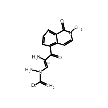 C=C(CC)N(N)/C=C(\N)C(=O)c1cccc2c(=O)n(C)ccc12